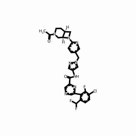 CC(=O)N1CC[C@H]2CN(c3ccc(Cn4cc(NC(=O)c5cncc(-c6c(C(F)F)ccc(Cl)c6F)n5)cn4)cn3)[C@H]2C1